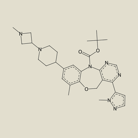 Cc1cc(C2CCN(C3CN(C)C3)CC2)cc2c1OCc1c(-c3ccnn3C)ncnc1N2C(=O)OC(C)(C)C